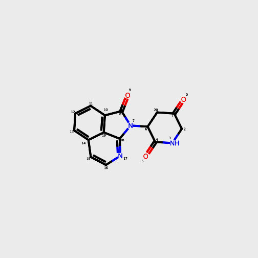 O=C1CNC(=O)C(N2C(=O)c3cccc4ccnc2c34)C1